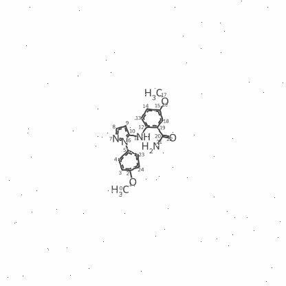 COc1ccc(-n2nccc2Nc2ccc(OC)cc2C(N)=O)cc1